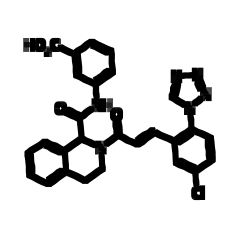 O=C(O)c1cccc(NC(=O)C2c3ccccc3CCN2C(=O)/C=C/c2cc(Cl)ccc2-n2cnnn2)c1